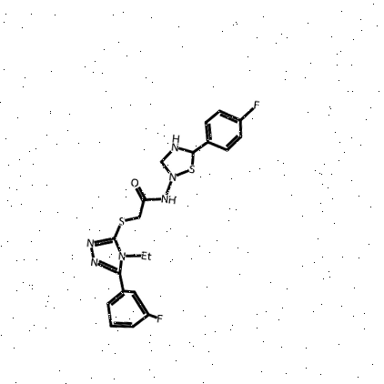 CCn1c(SCC(=O)NN2CNC(c3ccc(F)cc3)S2)nnc1-c1cccc(F)c1